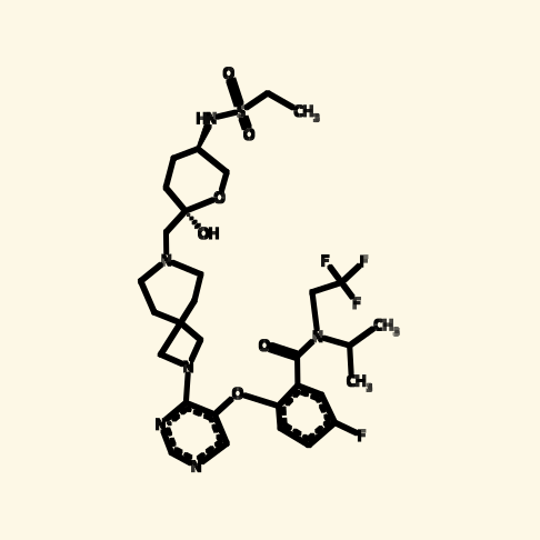 CCS(=O)(=O)N[C@@H]1CC[C@](O)(CN2CCC3(CC2)CN(c2ncncc2Oc2ccc(F)cc2C(=O)N(CC(F)(F)F)C(C)C)C3)OC1